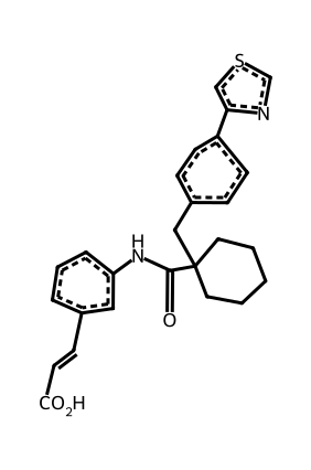 O=C(O)/C=C/c1cccc(NC(=O)C2(Cc3ccc(-c4cscn4)cc3)CCCCC2)c1